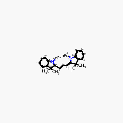 CCCN1/C(=C\C=C\C2=[N+](CCC)c3ccccc3C2(C)C)C(C)(C)c2ccccc21